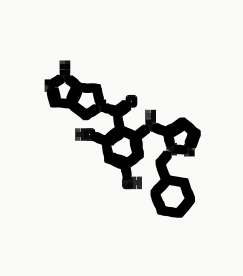 O=C(c1c(O)cc(O)cc1Nc1ccnn1CC1CCCCC1)N1Cc2cn[nH]c2C1